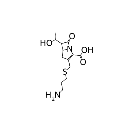 CC(O)C1C(=O)N2C(C(=O)O)=C(CSCCCN)CC12